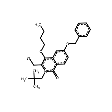 CCCCOc1c(CCl)n(CC(C)(C)C)c(=O)c2ccc(OCc3ccccc3)cc12